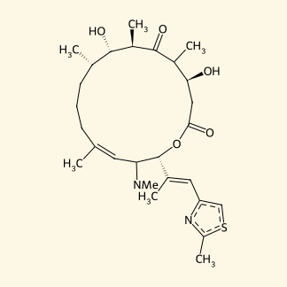 CNC1/C=C(/C)CCC[C@H](C)[C@H](O)[C@@H](C)C(=O)C(C)[C@@H](O)CC(=O)O[C@@H]1/C(C)=C/c1csc(C)n1